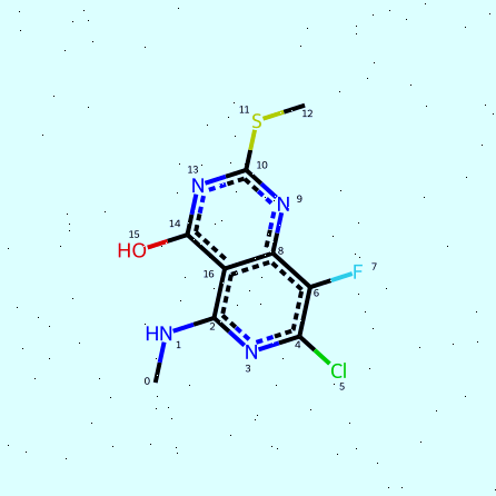 CNc1nc(Cl)c(F)c2nc(SC)nc(O)c12